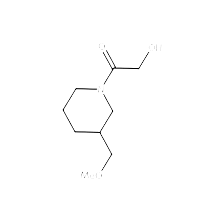 COCC1CCCN(C(=O)CO)C1